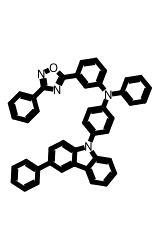 c1ccc(-c2ccc3c(c2)c2ccccc2n3-c2ccc(N(c3ccccc3)c3cccc(-c4nc(-c5ccccc5)no4)c3)cc2)cc1